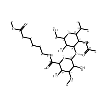 COC(=O)CCCCCNC(=O)C1OC(OC2C(O)C(CO)OC(C(C)C)C2NC(C)=O)C(O)C(OC)C1O